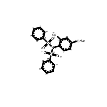 COc1ccc(N(S(=O)(=O)c2ccccc2)S(=O)(=O)c2ccccc2)c(C#N)c1